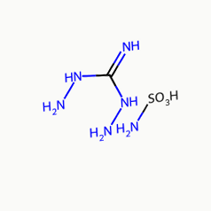 N=C(NN)NN.NS(=O)(=O)O